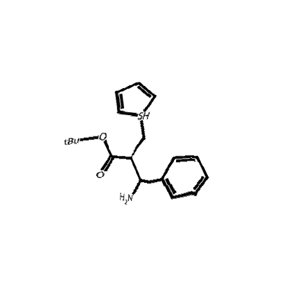 CC(C)(C)OC(=O)[C@@H](C[SH]1C=CC=C1)C(N)c1ccccc1